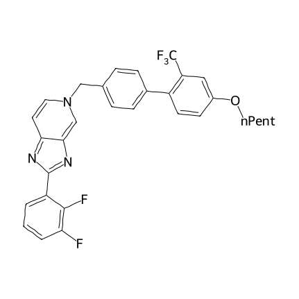 CCCCCOc1ccc(-c2ccc(Cn3ccc4nc(-c5cccc(F)c5F)nc-4c3)cc2)c(C(F)(F)F)c1